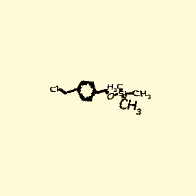 C[Si](C)(C)OCc1ccc(CCl)cc1